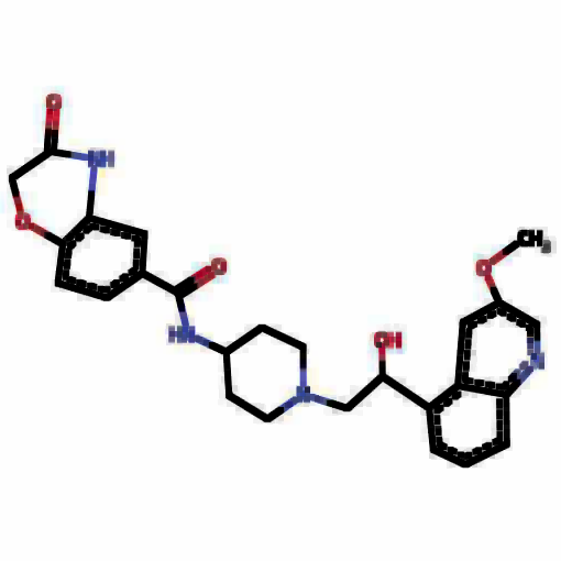 COc1cnc2cccc(C(O)CN3CCC(NC(=O)c4ccc5c(c4)NC(=O)CO5)CC3)c2c1